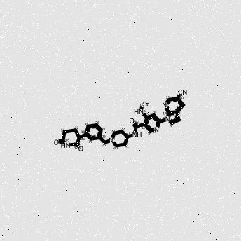 CC(C)Nc1cc(-n2ccc3cc(C#N)cnc32)ncc1C(=O)NC1CCN(Cc2cccc(C3CCC(=O)NC3=O)c2)CC1